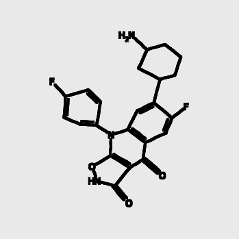 NC1CCCC(c2cc3c(cc2F)c(=O)c2c(=O)[nH]oc2n3-c2ccc(F)cc2)C1